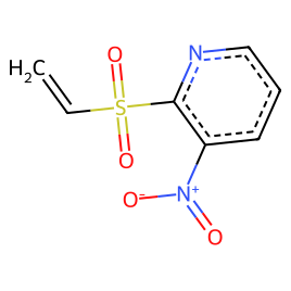 C=CS(=O)(=O)c1ncccc1[N+](=O)[O-]